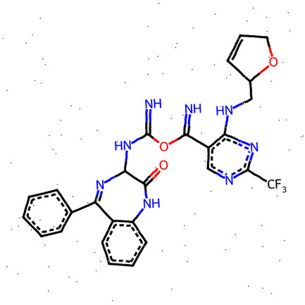 N=C(NC1N=C(c2ccccc2)c2ccccc2NC1=O)OC(=N)c1cnc(C(F)(F)F)nc1NCC1C=CCO1